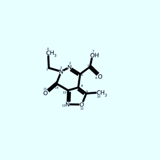 CCn1nc(C(=O)O)c2c(C)onc2c1=O